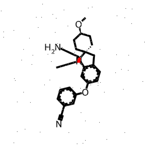 CO[C@H]1CC[C@]2(CC1)Cc1ccc(Oc3cccc(C#N)c3)cc1C21CN(C)C(N)=N1